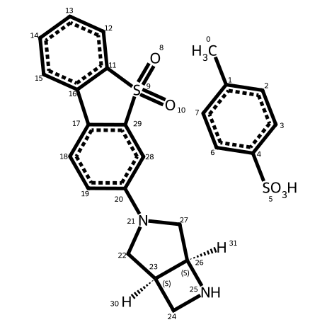 Cc1ccc(S(=O)(=O)O)cc1.O=S1(=O)c2ccccc2-c2ccc(N3C[C@@H]4CN[C@@H]4C3)cc21